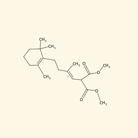 COC(=O)C(/C=C(\C)CCC1=C(C)CCCC1(C)C)C(=O)OC